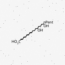 CCCCCC(O)CCCC(O)CCCC=CC=CC=CC=CC(=O)O